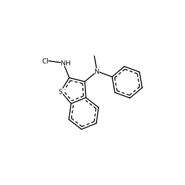 CN(c1ccccc1)c1c(NCl)sc2ccccc12